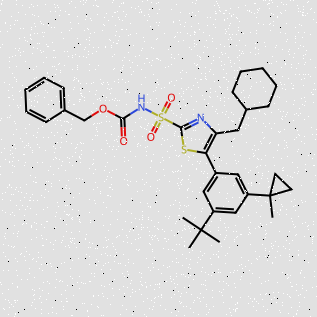 CC(C)(C)c1cc(-c2sc(S(=O)(=O)NC(=O)OCc3ccccc3)nc2CC2CCCCC2)cc(C2(C)CC2)c1